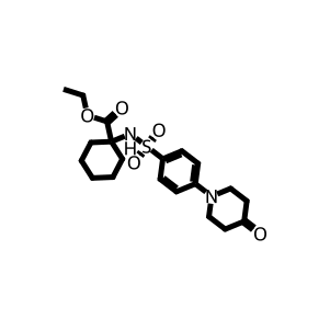 CCOC(=O)C1(NS(=O)(=O)c2ccc(N3CCC(=O)CC3)cc2)CCCCC1